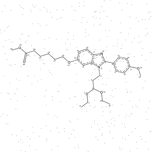 CCOC(CCn1c(-c2ccc(OC)cc2)nc2ccc(OCCCCCC(=O)OC)cc21)OCC